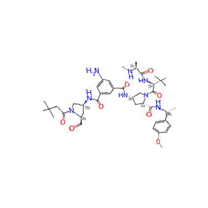 CN[C@@H](C)C(=O)N[C@H](C(=O)N1C[C@@H](NC(=O)c2cc(N)cc(C(=O)N[C@H]3C[C@@H](C=O)N(C(=O)CC(C)(C)C)C3)c2)C[C@H]1C(=O)N[C@H](C)c1ccc(OC)cc1)C(C)(C)C